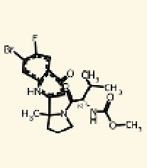 COC(=O)N[C@H](C(=O)N1CCCC1(C)c1cc(=O)c2cc(F)c(Br)cc2[nH]1)C(C)C